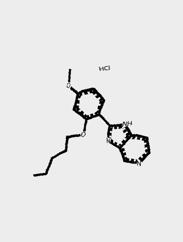 CCCCCOc1cc(OC)ccc1-c1nc2cnccc2[nH]1.Cl